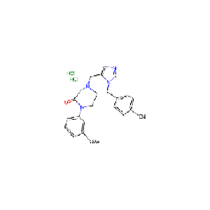 CSc1cccc(N2CCN(Cc3cncn3Cc3ccc(C#N)cc3)CC2=O)c1.Cl.Cl